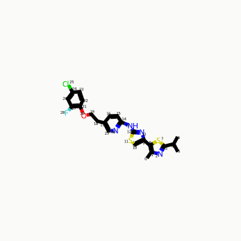 Cc1nc(C(C)C)sc1-c1csc(Nc2ccc(CCOc3ccc(Cl)cc3F)cn2)n1